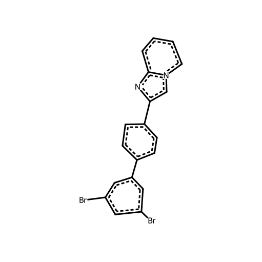 Brc1cc(Br)cc(-c2ccc(-c3cn4ccccc4n3)cc2)c1